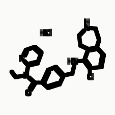 CCN(C(=O)c1ccc(CNc2c(Cl)ccc3c2CCNCC3)cc1)c1ccccn1.Cl